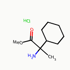 COC(=O)C(C)(N)C1CCCCC1.Cl